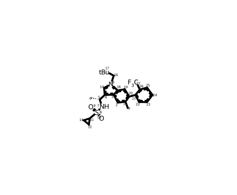 Cc1cc2c([C@@H](C)NS(=O)(=O)C3CC3)cn(CC(C)(C)C)c2cc1-c1ccccc1C(F)(F)F